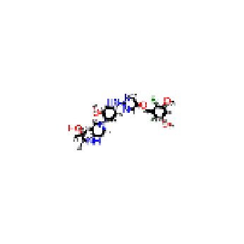 COc1cc(Nc2ncc(OCc3c(F)c(OC)cc(OC)c3F)cn2)ccc1N1CCC(N[C@@H](C)C(C)(C)O)CC1